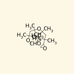 CC(C)(CC(C)(C)OC(C)(C)CC(C)(C)C1CO1)OC=O